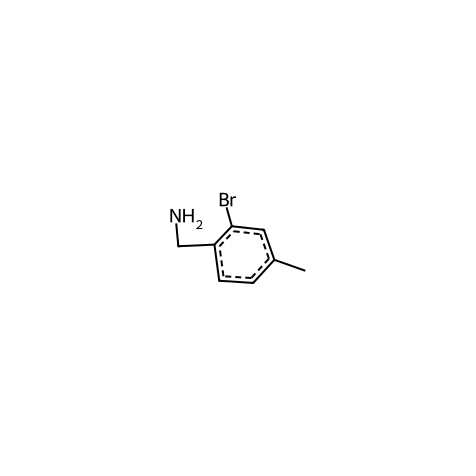 Cc1ccc(CN)c(Br)c1